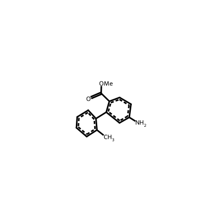 COC(=O)c1ccc(N)cc1-c1ccccc1C